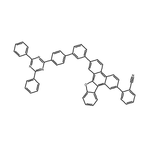 N#Cc1ccccc1-c1ccc2c3ccc(-c4cccc(-c5ccc(-c6nc(-c7ccccc7)nc(-c7ccccc7)n6)cc5)c4)cc3c3oc4ccccc4c3c2c1